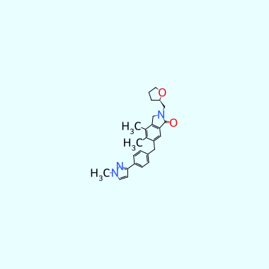 Cc1c(Cc2ccc(-c3ccn(C)n3)cc2)cc2c(c1C)CN(C[C@H]1CCCO1)C2=O